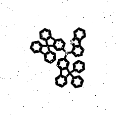 c1ccc(C2(c3ccccc3)c3ccccc3-c3ccc(N(c4ccc5c(c4)C4(c6ccccc6-c6ccccc64)c4ccccc4-5)c4cccc5c4sc4ccccc45)cc32)cc1